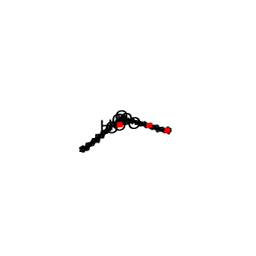 CC(C)CCCCCCCCCCOCCOP(=O)(CO)OCCOCCCCCCCCCCC(C)C